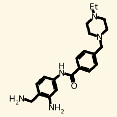 CCN1CCN(Cc2ccc(C(=O)Nc3ccc(CN)c(N)c3)cc2)CC1